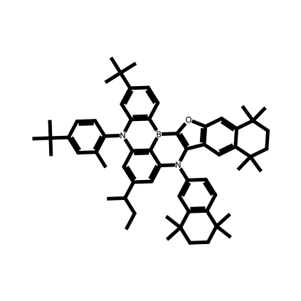 CCC(C)c1cc2c3c(c1)N(c1ccc4c(c1)C(C)(C)CCC4(C)C)c1c(oc4cc5c(cc14)C(C)(C)CCC5(C)C)B3c1ccc(C(C)(C)C)cc1N2c1ccc(C(C)(C)C)cc1C